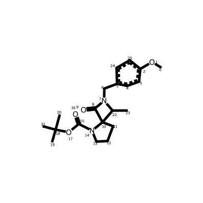 COc1ccc(CN2C(=O)C3(CCCN3C(=O)OC(C)(C)C)C2C)cc1